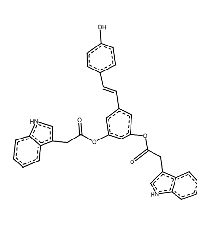 O=C(Cc1c[nH]c2ccccc12)Oc1cc(/C=C/c2ccc(O)cc2)cc(OC(=O)Cc2c[nH]c3ccccc23)c1